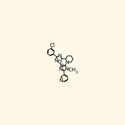 Cn1c(-c2cccnc2)nnc1N1CCCCC1c1nc(-c2cccc(Cl)c2)no1